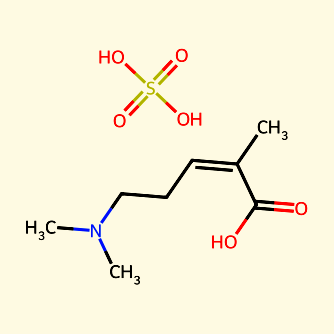 CC(=CCCN(C)C)C(=O)O.O=S(=O)(O)O